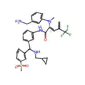 C=C(/C=C(/C(=O)Nc1cccc(C(NCC2CC2)c2cccc(S(C)(=O)=O)c2)c1)N(C)c1cccc(CN)c1)C(F)(F)F